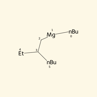 CCC[CH2][Mg][CH2]C(CC)CCCC